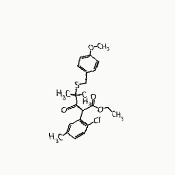 CCOC(=O)C(C(=O)C(C)(C)SCc1ccc(OC)cc1)c1cc(C)ccc1Cl